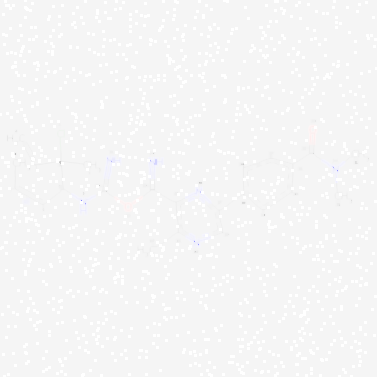 C=CC(C)(Cl)C(/C=C\C)NC(=N)OC(=N)c1nc(-c2ccc(C(=O)N(C)C)cc2)cnc1C